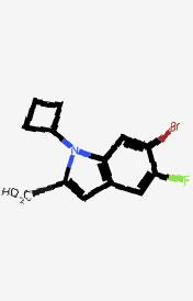 O=C(O)c1cc2cc(F)c(Br)cc2n1C1CCC1